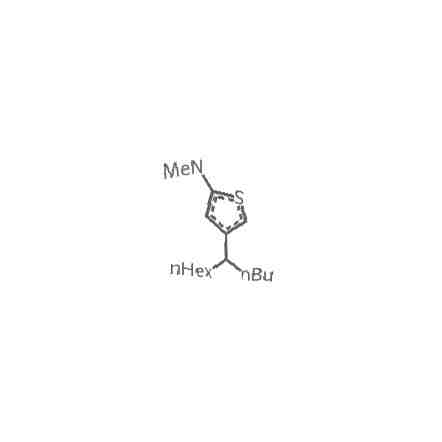 CCCCCCC(CCCC)c1csc(NC)c1